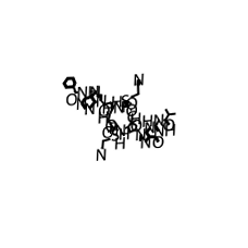 CC(C)C(=O)Nc1nc2c(ncn2[C@H]2C[C@@H]3NP(=S)(OCCC#N)OC[C@H]4O[C@@H](n5cnc6c(NC(=O)c7ccccc7)ncnc65)C[C@@H]4NP(=S)(OCCC#N)OC[C@H]3O2)c(=O)[nH]1